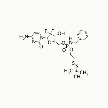 CC(C)(C)SSCCOP(=O)(NCc1ccccc1)OC[C@H]1O[C@@H](n2ccc(N)nc2=O)C(F)(F)[C@@H]1O